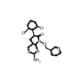 Nc1ncc2cc(-c3c(Cl)cccc3Cl)c(=O)n(OCc3cccnc3)c2n1